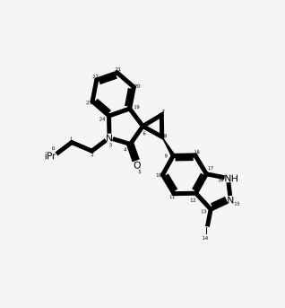 CC(C)CCN1C(=O)C2(C[C@H]2c2ccc3c(I)n[nH]c3c2)c2ccccc21